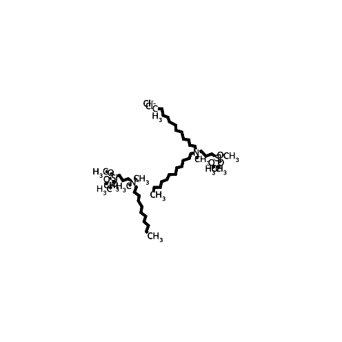 CCCCCCCCCCCC[N+](C)(CCCCCCCCCCCC)CCC[Si](OC)(OC)OC.CCCCCCCCCCC[N+](C)(C)CCC[Si](OC)(OC)OC.[Cl-].[Cl-]